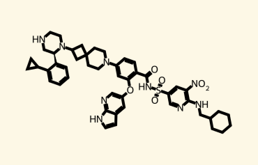 O=C(NS(=O)(=O)c1cnc(NCC2CCCCC2)c([N+](=O)[O-])c1)c1ccc(N2CCC3(CC2)CC(N2CCNC[C@@H]2c2ccccc2C2CC2)C3)cc1Oc1cnc2[nH]ccc2c1